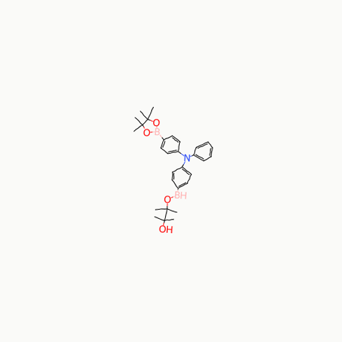 CC(C)(O)C(C)(C)OBc1ccc(N(c2ccccc2)c2ccc(B3OC(C)(C)C(C)(C)O3)cc2)cc1